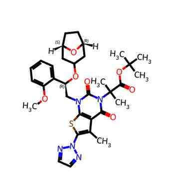 COc1ccccc1[C@H](Cn1c(=O)n(C(C)(C)C(=O)OC(C)(C)C)c(=O)c2c(C)c(-n3nccn3)sc21)OC1C[C@H]2CC[C@@H](C1)O2